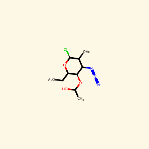 CC(=O)OCC1O[C@@H](Cl)C(OC(C)=O)C(N=[N+]=[N-])[C@H]1OC(C)O